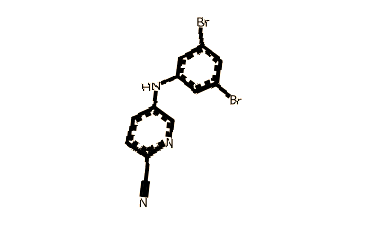 N#Cc1ccc(Nc2cc(Br)cc(Br)c2)cn1